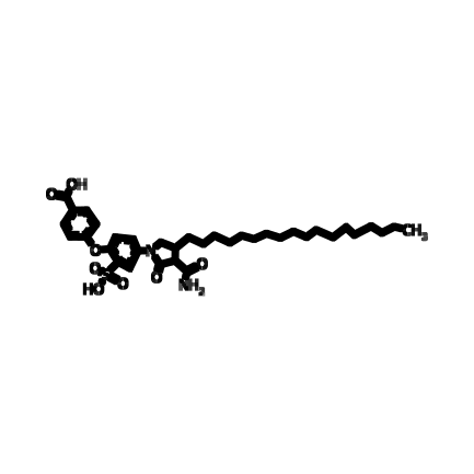 CCCCCCCCCCCCCCCCCCC1CN(c2ccc(Oc3ccc(C(=O)O)cc3)c(S(=O)(=O)O)c2)C(=O)C1C(N)=O